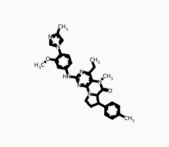 CCc1nc(Nc2ccc(-n3cnc(C)c3)c(OC)c2)nc2c1N(C)C(=O)C1C(c3ccc(C)cc3)CCN21